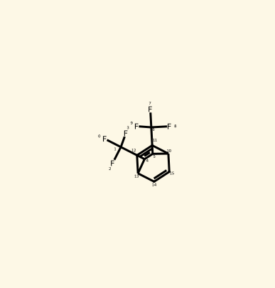 FC(F)(F)C1=C(C(F)(F)F)C2C=CC1C=C2